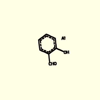 O=Cc1ccccc1O.[Al]